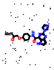 CNC(=O)CO[C@H]1CC[C@H](NC(=O)c2nc(-n3ccnc3)nc3cc[nH]c23)CC1